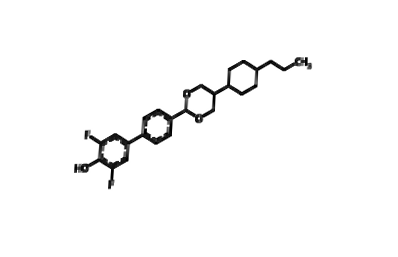 CCCC1CCC(C2COC(c3ccc(-c4cc(F)c(O)c(F)c4)cc3)OC2)CC1